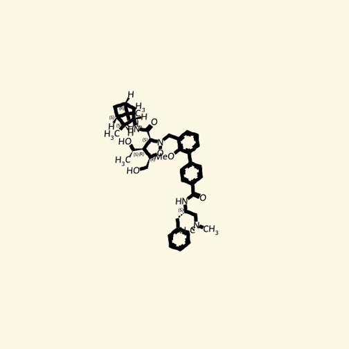 COc1c(CN2O[C@@H](CO)[C@@H]([C@H](C)O)[C@H]2C(=O)N[C@H]2C[C@H]3C[C@@H]([C@@H]2C)C3(C)C)cccc1-c1ccc(C(=O)N[C@@H](Cc2ccccc2)CN(C)C)cc1